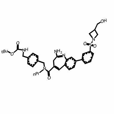 CCCN(Cc1ccc(CNC(=O)OC(C)(C)C)cc1)C(=O)C1=Cc2ccc(-c3cccc(S(=O)(=O)N4CC(CO)C4)c3)cc2N=C(N)C1